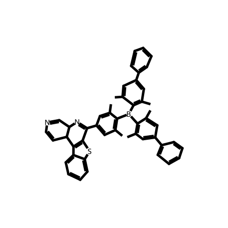 Cc1cc(C2=NC3C=NC=CC3c3c2sc2ccccc32)cc(C)c1B(c1c(C)cc(-c2ccccc2)cc1C)c1c(C)cc(-c2ccccc2)cc1C